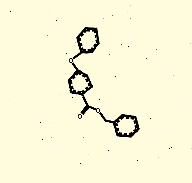 O=C(OCc1ccccc1)c1ccc(Oc2ccccc2)cc1